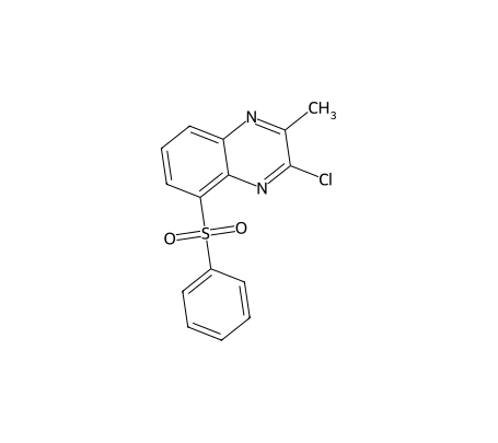 Cc1nc2cccc(S(=O)(=O)c3ccccc3)c2nc1Cl